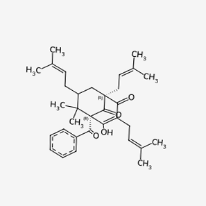 CC(C)=CCC1=C(O)[C@]2(C(=O)c3ccccc3)C(=O)[C@@](CC=C(C)C)(CC(CC=C(C)C)C2(C)C)C1=O